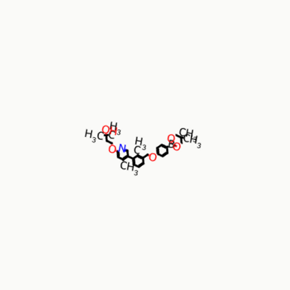 Cc1cc(OCCC(C)(C)O)ncc1-c1cccc(COc2ccc(B3OCC(C)(C)CO3)cc2)c1C